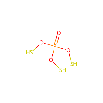 O=P(OS)(OS)OS